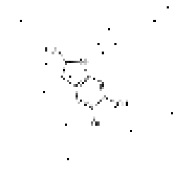 CC1Cc2cc(O)c(O)cc2N1